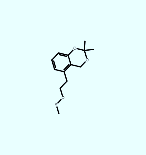 CSOCCc1cccc2c1COC(C)(C)O2